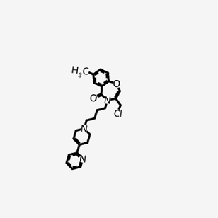 Cc1ccc2c(c1)C(=O)N(CCCCN1CC=C(c3ccccn3)CC1)C(CCl)=CO2